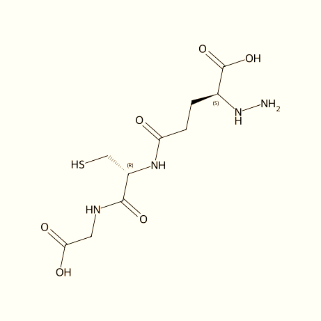 NN[C@@H](CCC(=O)N[C@@H](CS)C(=O)NCC(=O)O)C(=O)O